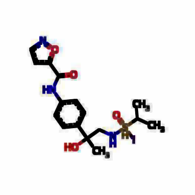 CC(C)[SH](=O)(I)NCC(C)(O)c1ccc(NC(=O)c2ccno2)cc1